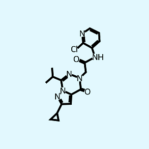 CC(C)c1nn(CC(=O)Nc2cccnc2Cl)c(=O)c2cc(C3CC3)nn12